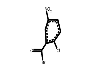 O=C(Br)c1cc([N+](=O)[O-])ccc1Cl